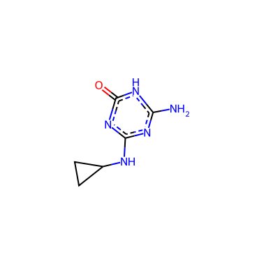 Nc1nc(NC2CC2)nc(=O)[nH]1